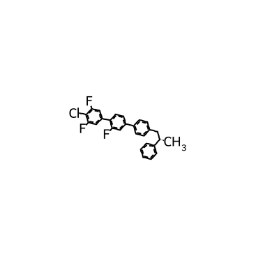 C[C@@H](Cc1ccc(-c2ccc(-c3cc(F)c(Cl)c(F)c3)c(F)c2)cc1)c1ccccc1